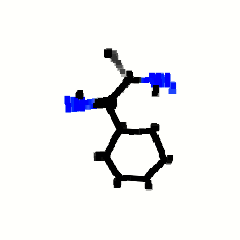 C[C@H](N)C(=N)C1CCCCC1